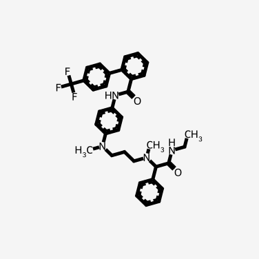 CCNC(=O)C(c1ccccc1)N(C)CCCN(C)c1ccc(NC(=O)c2ccccc2-c2ccc(C(F)(F)F)cc2)cc1